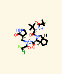 CC(C)(F)C(=O)N[C@H](C(=O)N1C[C@@H]2CCC[C@@H]2[C@H]1C(=O)NN(C[C@@H]1CCNC1=O)C(=O)[C@H](F)Cl)C(C)(C)C